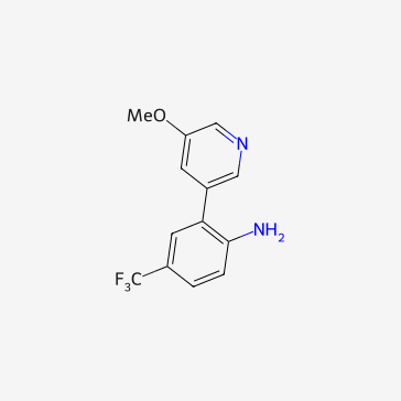 COc1cncc(-c2cc(C(F)(F)F)ccc2N)c1